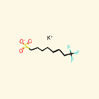 O=S(=O)([O-])CCCCCCCC(F)(F)F.[K+]